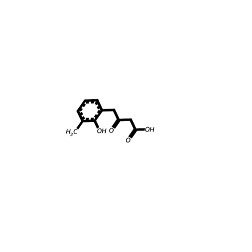 Cc1cccc(CC(=O)CC(=O)O)c1O